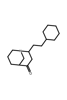 O=C1CC(CCC2CCCCC2)N2CCCC1C2